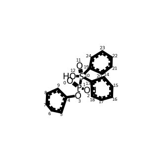 O=P(O)(Oc1ccccc1)S(=O)(O)(c1ccccc1)c1ccccc1